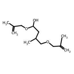 C=C(C)COCC(C)CC(O)OCC(=C)C